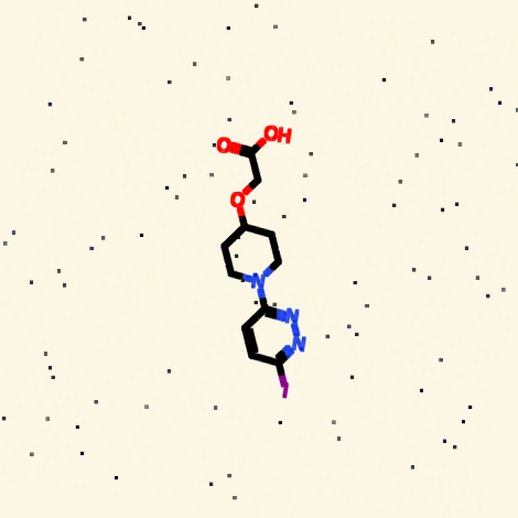 O=C(O)COC1CCN(c2ccc(I)nn2)CC1